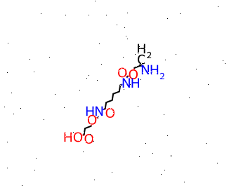 C=C(N)COC(=O)NCCCCCC(=O)NCOCCC(=O)O